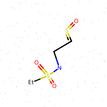 CCS(=O)(=O)[N]CC=S=O